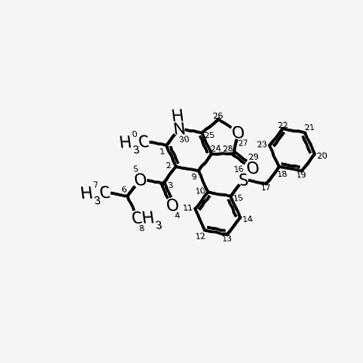 CC1=C(C(=O)OC(C)C)C(c2ccccc2SCc2ccccc2)C2=C(COC2=O)N1